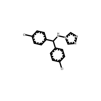 Clc1ccc(C(Nn2cnnc2)c2ccc(Cl)cc2)cc1